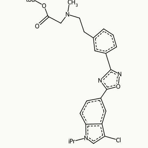 CC(C)n1cc(Cl)c2cc(-c3nc(-c4cccc(CCN(C)CC(=O)OC(C)(C)C)c4)no3)ccc21